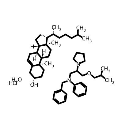 CC(C)CCC[C@@H](C)[C@H]1CC[C@H]2[C@@H]3CC=C4C[C@@H](O)CC[C@]4(C)[C@H]3CC[C@]12C.CC(C)COCC(CN(Cc1ccccc1)c1ccccc1)N1CCCC1.Cl.O